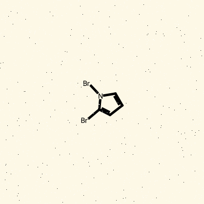 Brc1cccn1Br